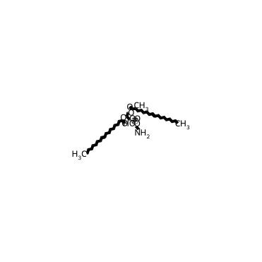 CCCCCCCC/C=C/CCCCCCCC(=O)OC(COC(=O)C(C)CCCCC/C=C/CCCCCCCC)COP(=O)(O)OCCN